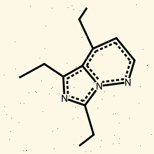 CCc1ccnn2c(CC)nc(CC)c12